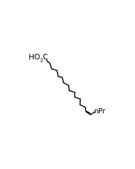 CCC/C=C\CCCCCCCCCCCCCCC(=O)O